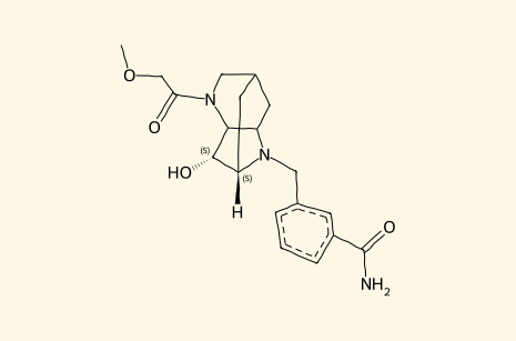 COCC(=O)N1CC2CC3C1[C@@H](O)[C@H](C2)N3Cc1cccc(C(N)=O)c1